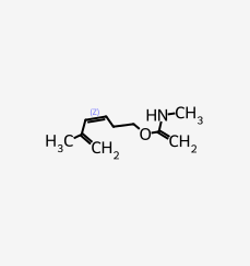 C=C(C)/C=C\CCOC(=C)NC